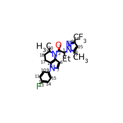 CCC(C(=O)N1c2ccn(-c3ccc(F)cc3)c2CCC1C)n1nc(C(F)(F)F)cc1C